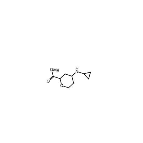 COC(=O)C1CC(NC2CC2)CCO1